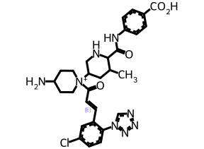 CC1CC([N+]2(C(=O)/C=C/c3cc(Cl)ccc3-n3cnnn3)CCC(N)CC2)CNC1C(=O)Nc1ccc(C(=O)O)cc1